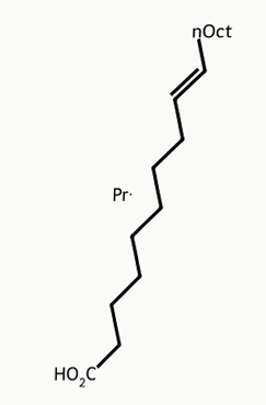 CCCCCCCCC=CCCCCCCCC(=O)O.[Pr]